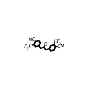 N#Cc1ccc(CC(=O)Cc2ccc(C#N)c(C(F)(F)F)c2)cc1C(F)(F)F